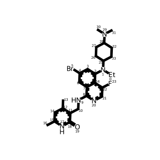 CCN(c1cc(Br)cc2c(NCc3c(C)cc(C)[nH]c3=O)ncc(F)c12)C1CCC(N(C)C)CC1